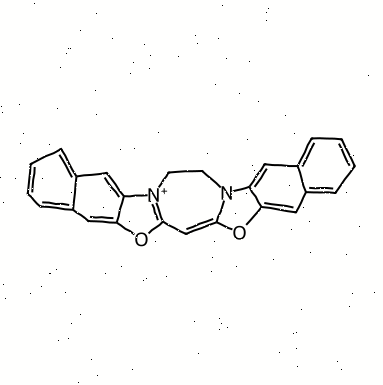 C1=C2Oc3cc4ccccc4cc3N2CC[n+]2c1oc1cc3ccccc3cc12